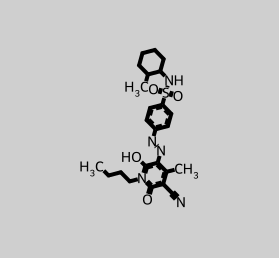 CCCCn1c(O)c(N=Nc2ccc(S(=O)(=O)NC3CCCCC3C)cc2)c(C)c(C#N)c1=O